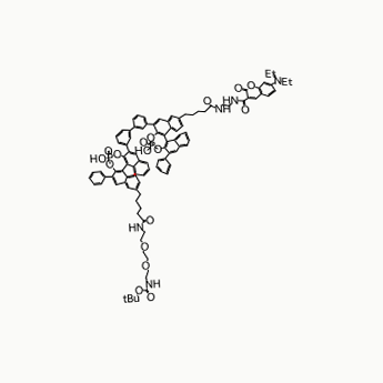 CCN(CC)c1ccc2cc(C(=O)NCCNC(=O)CCCCc3ccc4c5c(c(-c6cccc(-c7cccc(-c8cc9ccccc9c9c8OP(=O)(O)Oc8c(-c%10ccccc%10)cc%10cc(CCCCC(=O)NCCOCCOCCNC(=O)OC(C)(C)C)ccc%10c8-9)c7)c6)cc4c3)OP(=O)(O)Oc3c(-c4ccccc4)cc4ccccc4c3-5)c(=O)oc2c1